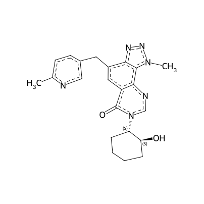 Cc1ccc(Cc2cc3c(=O)n([C@H]4CCCC[C@@H]4O)cnc3c3c2nnn3C)cn1